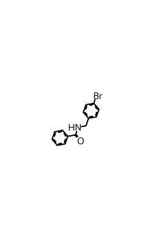 O=C(NCc1ccc(Br)cc1)c1ccccc1